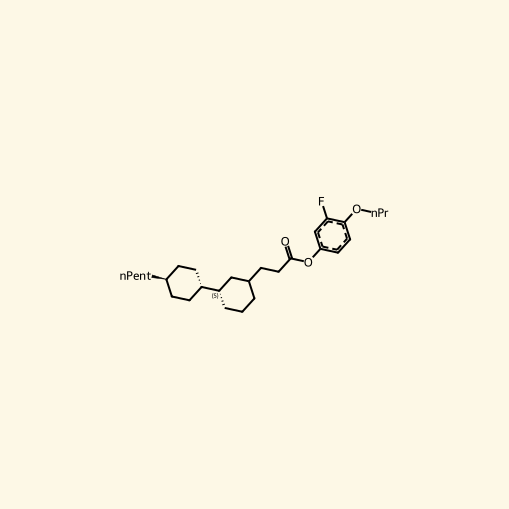 CCCCC[C@H]1CC[C@H]([C@H]2CCCC(CCC(=O)Oc3ccc(OCCC)c(F)c3)C2)CC1